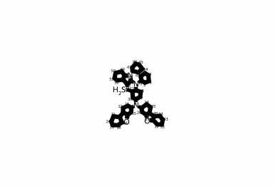 c1ccc(N2c3ccc(N(c4ccc5c(c4)oc4ccccc45)c4ccc5c(c4)oc4ccccc45)cc3[SiH2]c3c2n(-c2ccccc2)c2ccccc32)cc1